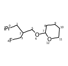 CC(C)CC(CF)COC1CCCCO1